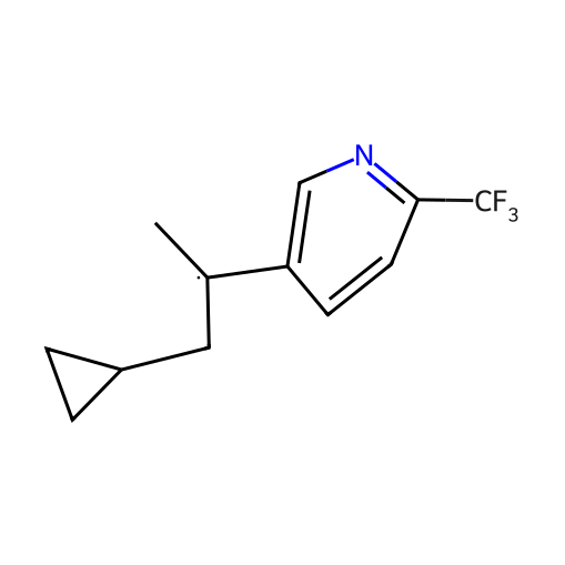 C[C](CC1CC1)c1ccc(C(F)(F)F)nc1